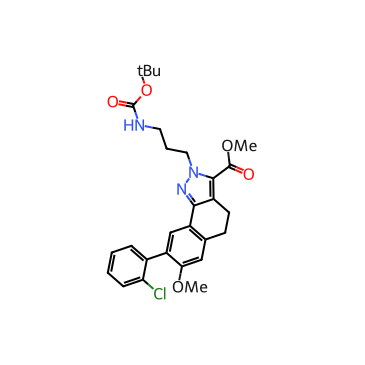 COC(=O)c1c2c(nn1CCCNC(=O)OC(C)(C)C)-c1cc(-c3ccccc3Cl)c(OC)cc1CC2